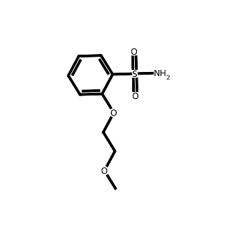 COCCOc1ccccc1S(N)(=O)=O